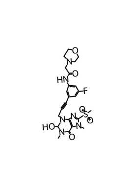 CN1C(=O)c2c(nc(S(C)(=O)=O)n2C)N(CC#Cc2cc(F)cc(NC(=O)CN3CCOCC3)c2)C1O